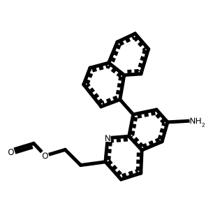 Nc1cc(-c2cccc3ccccc23)c2nc(CCOC=O)ccc2c1